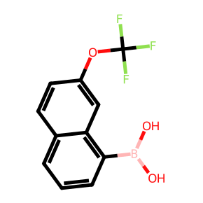 OB(O)c1cccc2ccc(OC(F)(F)F)cc12